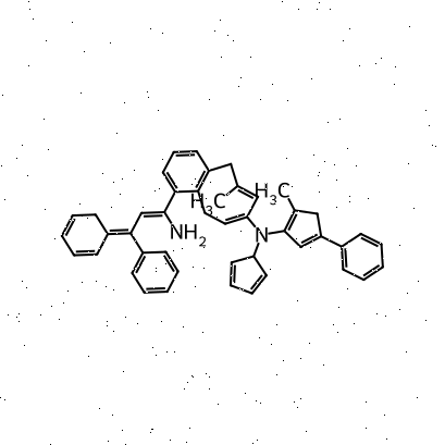 CC1=C(N(C2=C/Cc3c(cccc3/C(N)=C/C(=C3/C=CC=CC3)c3ccccc3)C\C(C)=C\2)C2C=CC=C2)C=C(c2ccccc2)C1